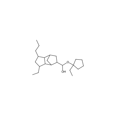 CCCC1CC(CC)C2C3CC(CC3C(O)OC3(CC)CCCC3)C12